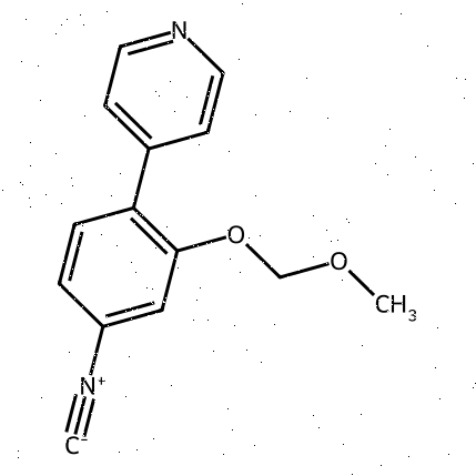 [C-]#[N+]c1ccc(-c2ccncc2)c(OCOC)c1